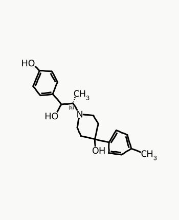 Cc1ccc(C2(O)CCN([C@@H](C)C(O)c3ccc(O)cc3)CC2)cc1